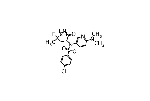 CN(C)c1ccc(N(C(CC(C)(C)F)C(N)=O)S(=O)(=O)c2ccc(Cl)cc2)cn1